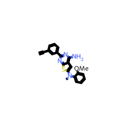 C#Cc1cccc(-c2nc(N)c3cc(N(C)c4ccccc4OC)sc3n2)c1